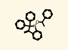 C=C1c2ccccc2N(OC(C)c2ccccc2)C1(c1ccccc1)c1ccccc1